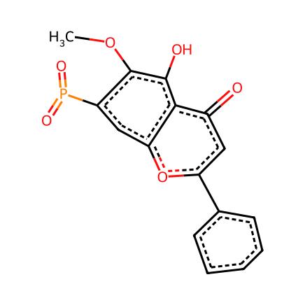 COc1c(P(=O)=O)cc2oc(-c3ccccc3)cc(=O)c2c1O